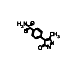 CC1=C(c2ccc(S(N)(=O)=O)cc2)C(=O)N=N1